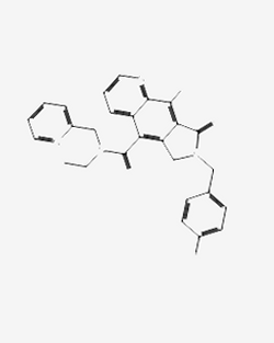 CCN(Cc1ccccn1)C(=O)c1c2c(c(O)c3ncccc13)C(=O)N(Cc1ccc(F)cc1)C2